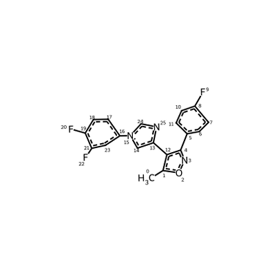 Cc1onc(-c2ccc(F)cc2)c1-c1cn(-c2ccc(F)c(F)c2)cn1